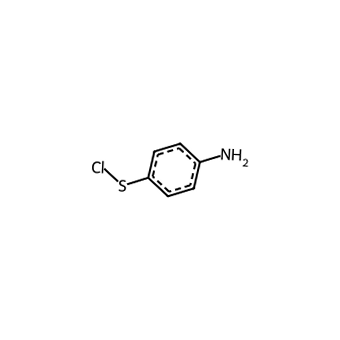 Nc1ccc(SCl)cc1